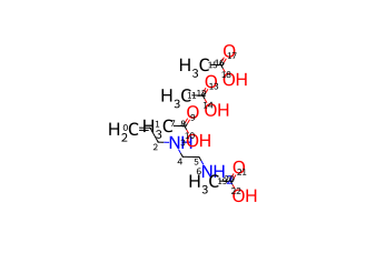 C=CCNCCN.CC(=O)O.CC(=O)O.CC(=O)O.CC(=O)O